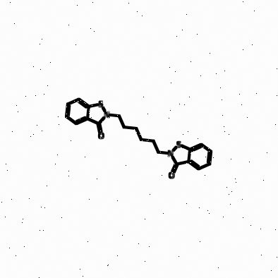 O=c1c2ccccc2sn1CCCCCCn1sc2ccccc2c1=O